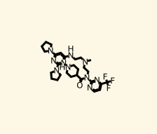 CN(CCNc1cc(N2CCCC2)nc(N2CCCC2)n1)CCN(C(=O)C1CCNCC1)c1nccc(C(F)(F)F)n1